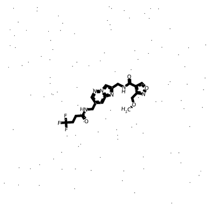 COCc1nocc1C(=O)NCc1cn2ncc(CNC(=O)CCC(F)(F)F)cc2n1